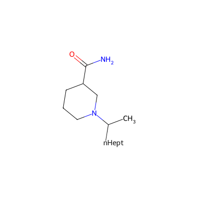 CCCCCCCC(C)N1CCCC(C(N)=O)C1